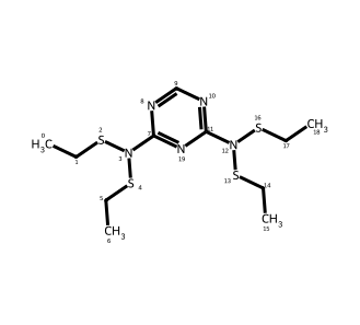 CCSN(SCC)c1ncnc(N(SCC)SCC)n1